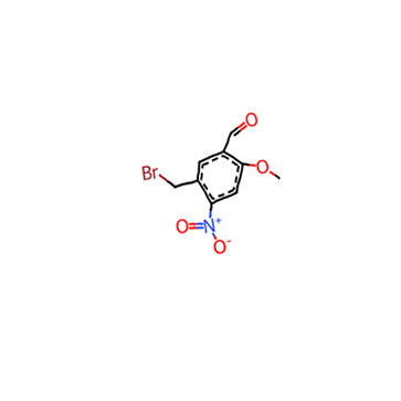 COc1cc([N+](=O)[O-])c(CBr)cc1C=O